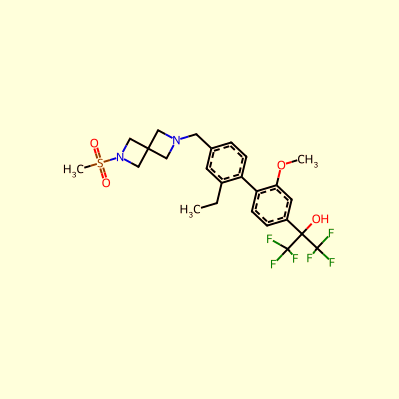 CCc1cc(CN2CC3(C2)CN(S(C)(=O)=O)C3)ccc1-c1ccc(C(O)(C(F)(F)F)C(F)(F)F)cc1OC